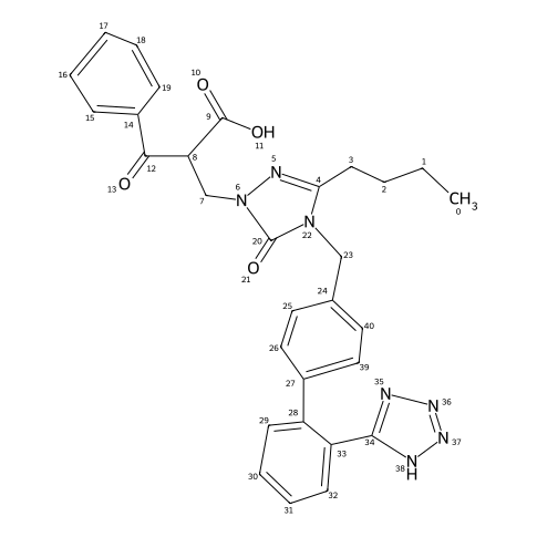 CCCCc1nn(CC(C(=O)O)C(=O)c2ccccc2)c(=O)n1Cc1ccc(-c2ccccc2-c2nnn[nH]2)cc1